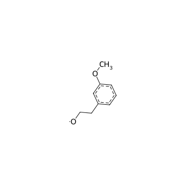 COc1cccc(CC[O])c1